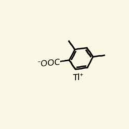 Cc1ccc(C(=O)[O-])c(C)c1.[Tl+]